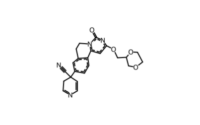 N#CC1(c2ccc3c(c2)CCn2c-3cc(OCC3COCCO3)nc2=O)C=CN=CC1